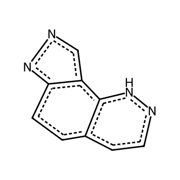 c1cc2ccc3nncc3c2[nH]n1